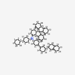 c1ccc(-c2ccc(N(c3ccc(-c4cccc(-c5ccc6ccccc6c5)c4)cc3)c3cccc4c3-c3ccccc3C43c4ccccc4-c4ccccc43)cc2)cc1